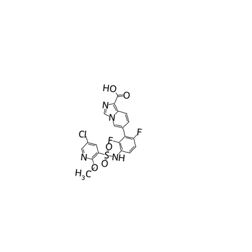 COc1ncc(Cl)cc1S(=O)(=O)Nc1ccc(F)c(-c2ccc3c(C(=O)O)ncn3c2)c1F